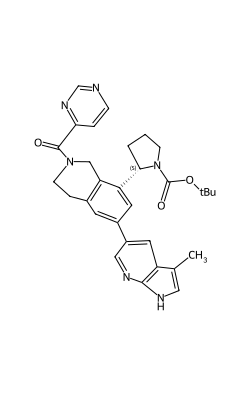 Cc1c[nH]c2ncc(-c3cc4c(c([C@@H]5CCCN5C(=O)OC(C)(C)C)c3)CN(C(=O)c3ccncn3)CC4)cc12